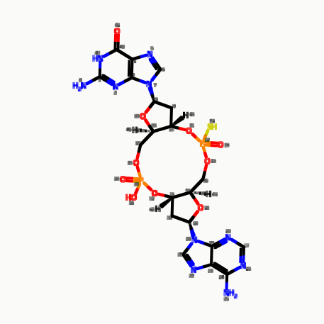 Nc1nc2c(ncn2[C@H]2C[C@@H]3OP(=O)(S)OC[C@H]4O[C@@H](n5cnc6c(N)ncnc65)C[C@@H]4OP(=O)(O)OC[C@H]3O2)c(=O)[nH]1